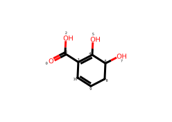 O=C(O)C1=C(O)C(O)CC=C1